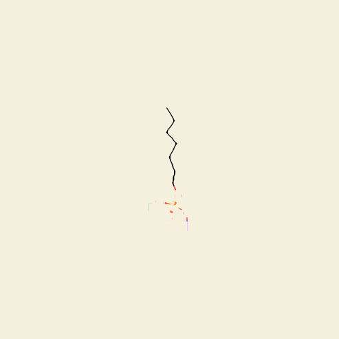 CCCCCCCOP(=O)(OF)OI